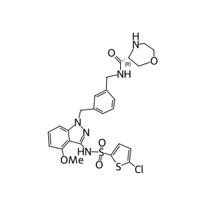 COc1cccc2c1c(NS(=O)(=O)c1ccc(Cl)s1)nn2Cc1cccc(CNC(=O)[C@H]2COCCN2)c1